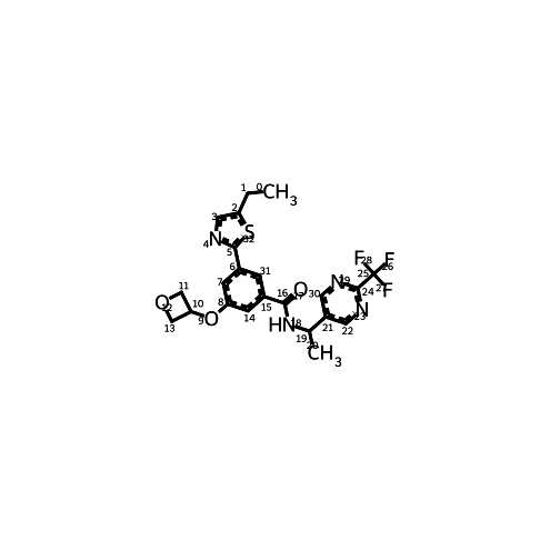 CCc1cnc(-c2cc(OC3COC3)cc(C(=O)NC(C)c3cnc(C(F)(F)F)nc3)c2)s1